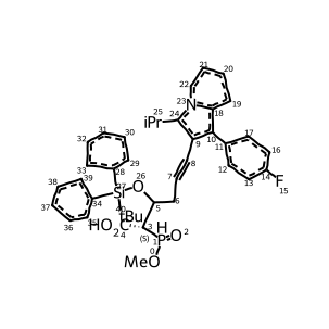 CO[PH](=O)[C@H](C(=O)O)C(CC#Cc1c(-c2ccc(F)cc2)c2ccccn2c1C(C)C)O[Si](c1ccccc1)(c1ccccc1)C(C)(C)C